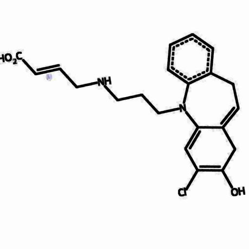 O=C(O)/C=C/CNCCCN1C2=CC(Cl)=C(O)CC2=CCc2ccccc21